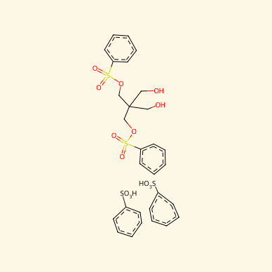 O=S(=O)(O)c1ccccc1.O=S(=O)(O)c1ccccc1.O=S(=O)(OCC(CO)(CO)COS(=O)(=O)c1ccccc1)c1ccccc1